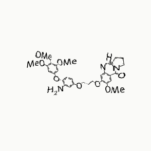 COc1cc2c(cc1OCCCOc1ccc(Oc3cc(OC)c(OC)c(OC)c3)c(N)c1)N=C[C@@H]1CCCN1C2=O